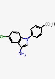 Nc1cn(-c2ccc(C(=O)O)cc2)c2ccc(Cl)cc12